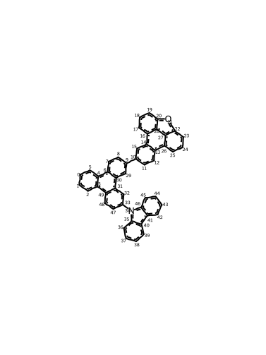 c1ccc2c(c1)c1ccc(-c3ccc4c(c3)c3cccc5oc6cccc4c6c53)cc1c1cc(-n3c4ccccc4c4ccccc43)ccc21